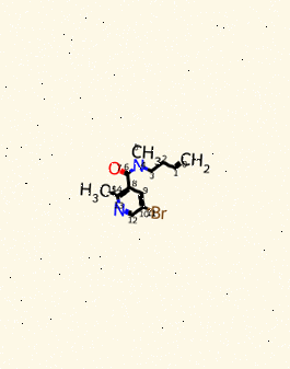 C=CCCN(C)C(=O)c1cc(Br)cnc1C